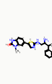 CC(c1ccccc1)C(N)CNc1ncc(-c2ccc3[nH]c(=O)n(C)c3c2)s1